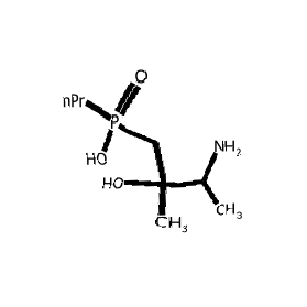 CCCP(=O)(O)CC(C)(O)C(C)N